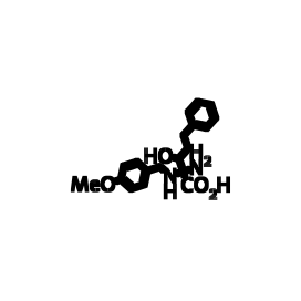 COc1ccc(CNC(N)(C(=O)O)C(O)CCc2ccccc2)cc1